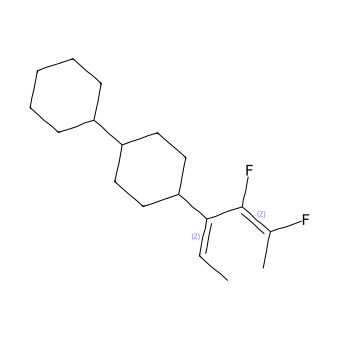 C/C=C(\C(F)=C(/C)F)C1CCC(C2CCCCC2)CC1